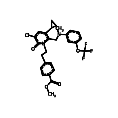 COC(=O)c1ccc(CCn2c(CN(C)c3cccc(OC(F)(F)F)c3)c(C3CC3)cc(Cl)c2=O)cc1